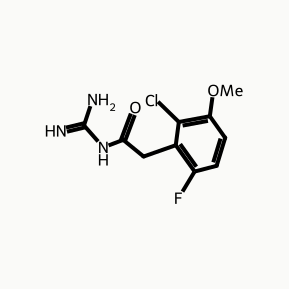 COc1ccc(F)c(CC(=O)NC(=N)N)c1Cl